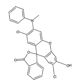 CN(c1ccccc1)c1cc2c(cc1Cl)C1(OC(=O)c3ccccc31)c1cc(Cl)c(O)cc1O2